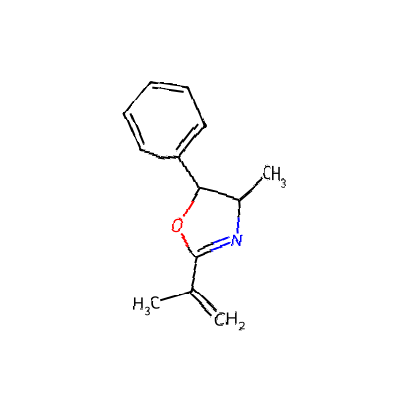 C=C(C)C1=NC(C)C(c2ccccc2)O1